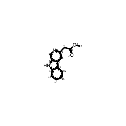 COC(=O)Cc1cc2c(cn1)[nH]c1ccccc12